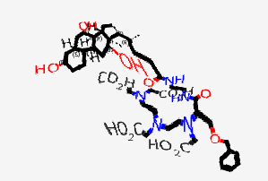 C[C@H](CCC(=O)NCCNC(=O)C(COCc1ccccc1)N(CCN(CCN(CC(=O)O)CC(=O)O)CC(=O)O)CC(=O)O)[C@H]1CC[C@H]2[C@@H]3[C@H](O)C[C@@H]4C[C@H](O)CC[C@]4(C)[C@H]3C[C@H](O)[C@]12C